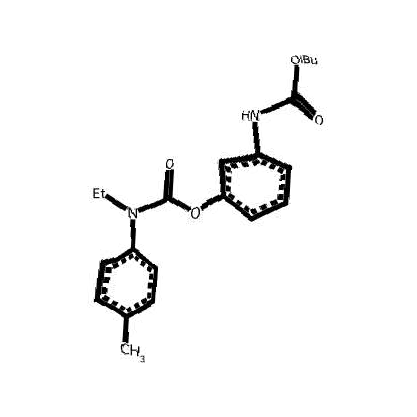 CCN(C(=O)Oc1cccc(NC(=O)OCC(C)C)c1)c1ccc(C)cc1